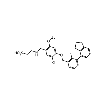 CCOc1cc(OCc2cccc(-c3cccc4c3CCC4)c2C)c(Cl)cc1CNCCS(=O)(=O)O